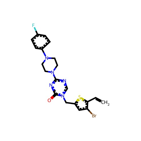 C=Cc1sc(Cn2cnc(N3CCN(c4ccc(F)cc4)CC3)nc2=O)cc1Br